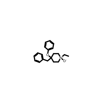 CC[N+]1([O-])CCC(Cc2ccccc2)(Oc2ccccc2)CC1